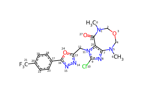 CN1COCN(C)c2nc(Cl)n(Cc3nnc(-c4ccc(C(F)(F)F)cc4)o3)c2C1=O